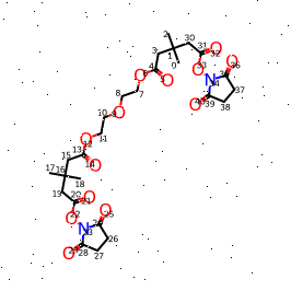 CC(C)(CC(=O)OCCOCCOC(=O)CC(C)(C)CC(=O)ON1C(=O)CCC1=O)CC(=O)ON1C(=O)CCC1=O